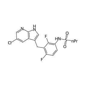 CCCS(=O)(=O)Nc1ccc(F)c(Cc2c[nH]c3ncc(Cl)cc23)c1F